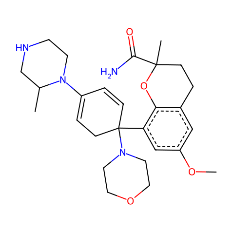 COc1cc2c(c(C3(N4CCOCC4)C=CC(N4CCNCC4C)=CC3)c1)OC(C)(C(N)=O)CC2